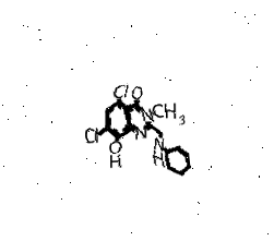 Cn1c(CNC2CCCCC2)nc2c(O)c(Cl)cc(Cl)c2c1=O